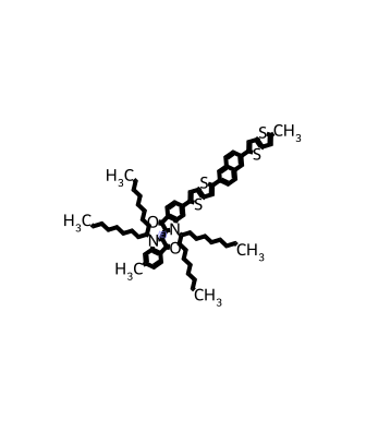 CCCCCCCCC(CCCCCCCC)N1/C(=C2\C(=O)c3ccc(-c4cc5sc(-c6ccc7cc(-c8cc9sc(C)cc9s8)ccc7c6)cc5s4)cc3N2C(CCCCCCCC)CCCCCCCC)C(=O)c2ccc(C)cc21